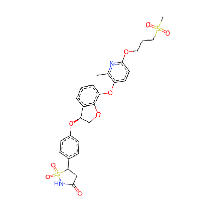 Cc1nc(OCCCS(C)(=O)=O)ccc1Oc1cccc2c1OC[C@H]2Oc1ccc(C2CC(=O)NS2(=O)=O)cc1